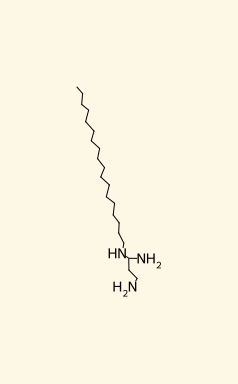 CCCCCCCCCCCCCCCCCCNC(N)CCN